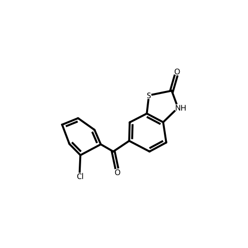 O=C(c1ccc2[nH]c(=O)sc2c1)c1ccccc1Cl